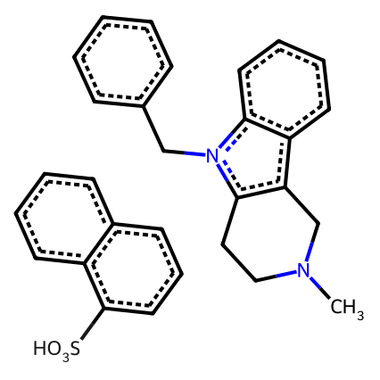 CN1CCc2c(c3ccccc3n2Cc2ccccc2)C1.O=S(=O)(O)c1cccc2ccccc12